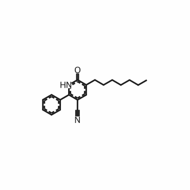 CCCCCCCc1cc(C#N)c(-c2ccccc2)[nH]c1=O